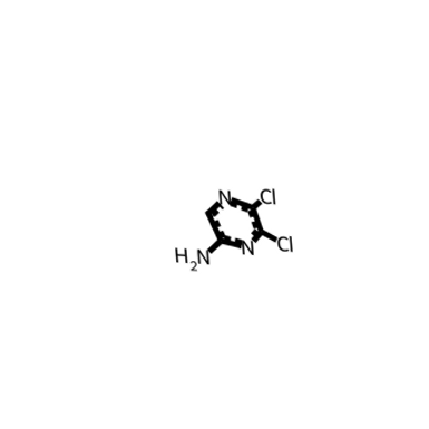 Nc1cnc(Cl)c(Cl)n1